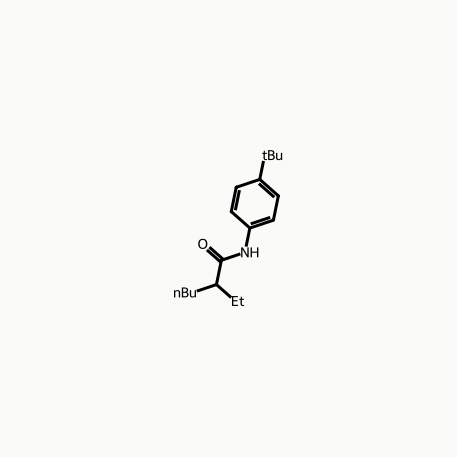 CCCCC(CC)C(=O)Nc1ccc(C(C)(C)C)cc1